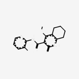 Cc1cccnc1NC(=O)c1c(OI)c2c([nH]c1=O)CCCC2